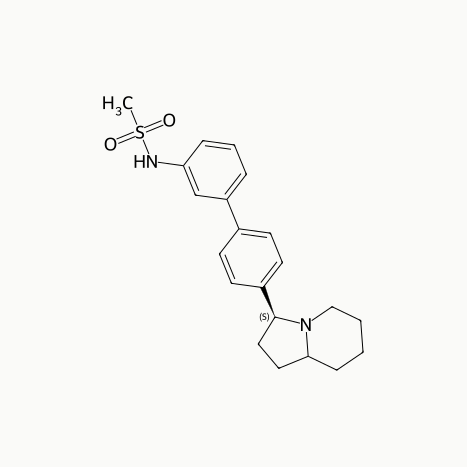 CS(=O)(=O)Nc1cccc(-c2ccc([C@@H]3CCC4CCCCN43)cc2)c1